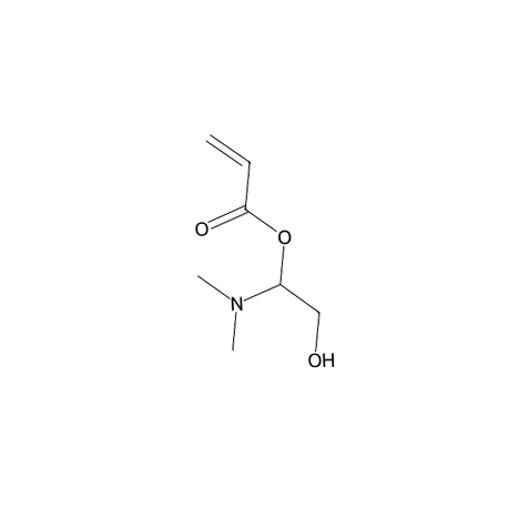 C=CC(=O)OC(CO)N(C)C